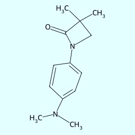 CN(C)c1ccc(N2CC(C)(C)C2=O)cc1